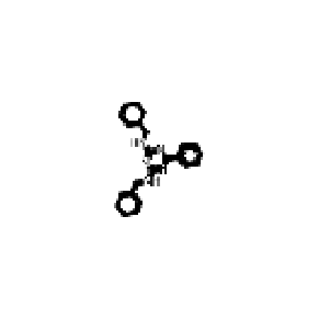 c1ccc(-c2nc(NCC3CCCCC3)nc(NCC3CCCCC3)n2)cc1